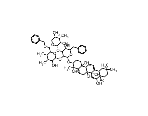 CC(=O)[C@]12CCC(C)(C)CC1C1=CCC3C4(C)CC[C@H](O[C@@H]5OC(Cc6ccccc6)[C@@H](O)[C@H](O[C@@H]6OC[C@@H](C)[C@H](C)C6C)C5O[C@@H]5OC(COCc6ccccc6)[C@H](C)[C@H](C)C5O)[C@](C)(C=O)[C@@H]4CCC3(C)[C@]1(C)CC2O